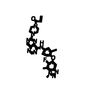 C=CC(=O)N1CCN(c2ncc3ncnc(Nc4ccc(Oc5cc6nnn(C)c6c(C)c5F)c(C)c4)c3n2)CC1